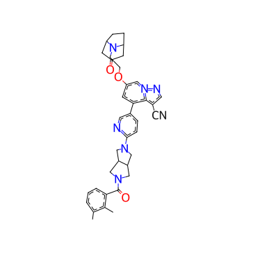 Cc1cccc(C(=O)N2CC3CN(c4ccc(-c5cc(OCCN6C7CCC6CC(=O)C7)cn6ncc(C#N)c56)cn4)CC3C2)c1C